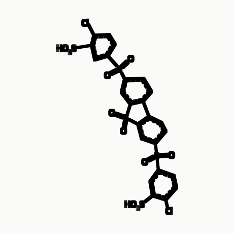 O=S(=O)(O)c1cc(S(=O)(=O)c2ccc3c(c2)S(=O)(=O)c2cc(S(=O)(=O)c4ccc(Cl)c(S(=O)(=O)O)c4)ccc2-3)ccc1Cl